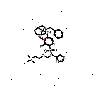 Cc1c(N[C@@H]2[C@@H]3CC[C@H]2CN(Cc2ccccc2)C3)cnc(S(=O)(=O)N(COCC[Si](C)(C)C)c2cscn2)c1F